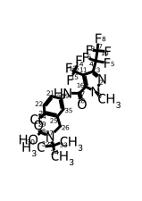 Cn1nc(C(F)(F)C(F)(F)F)c(C(F)(F)F)c1C(=O)Nc1ccc(Cl)c(CN(C(=O)O)C(C)(C)C)c1